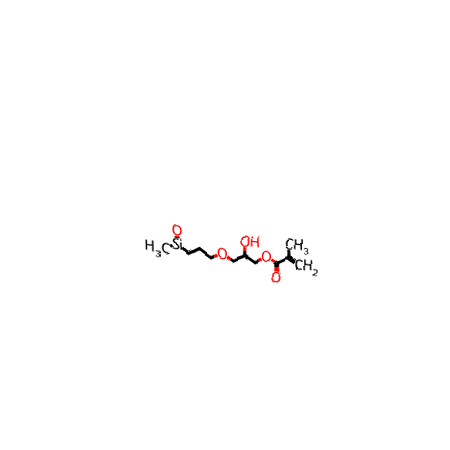 C=C(C)C(=O)OCC(O)COCCC[Si](C)=O